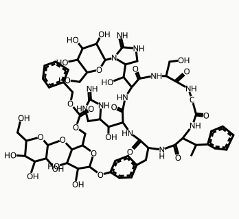 CC(c1ccccc1)C1NC(=O)CNC(=O)C(CO)NC(=O)C(C(O)C2CNC(=N)N2C2OC(CO)C(O)C(O)C2O)NC(=O)C(C(O)C2CNC(=N)N2)NC(=O)C(Cc2ccc(OC3OC(COC(=O)OCc4ccccc4)C(OC4OC(CO)C(O)C(O)C4O)C(O)C3O)cc2)NC1=O